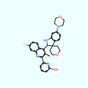 Cc1c(-c2cccc(O)n2)nc2cc(F)ccc2c1C1Nc2cc(N3CCOCC3)ccc2C12CCOCC2